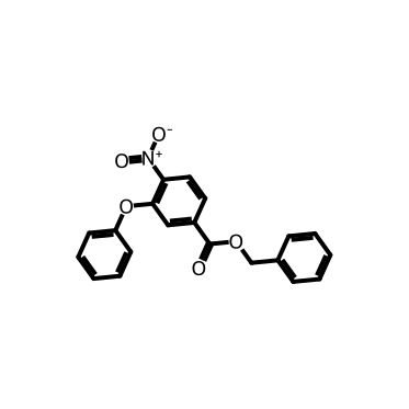 O=C(OCc1ccccc1)c1ccc([N+](=O)[O-])c(Oc2ccccc2)c1